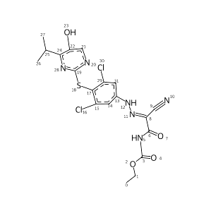 CCOC(=O)NC(=O)/C(C#N)=N/Nc1cc(Cl)c(Sc2ncc(O)c(C(C)C)n2)c(Cl)c1